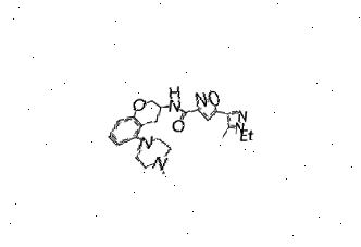 CCn1ncc(-c2cc(C(=O)N[C@@H]3COc4cccc(N5CCN(C)CC5)c4C3)no2)c1C